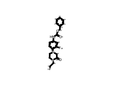 O=C(Nc1ccc(N2CCN(CCF)C(=O)C2)c(F)c1)OCc1ccccc1